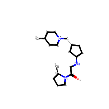 N#CC1CCN(C[C@@H]2CC[C@@H](NCC(=O)N3CCC[C@H]3C#N)C2)CC1